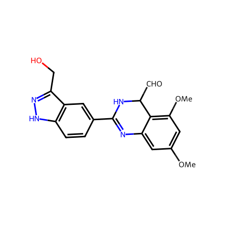 COc1cc2c(c(OC)c1)C(C=O)NC(c1ccc3[nH]nc(CO)c3c1)=N2